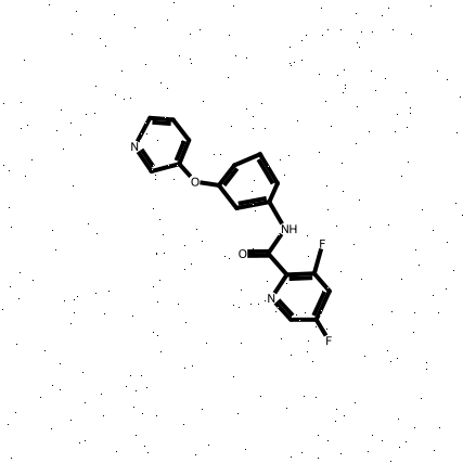 O=C(Nc1cccc(Oc2cccnc2)c1)c1ncc(F)cc1F